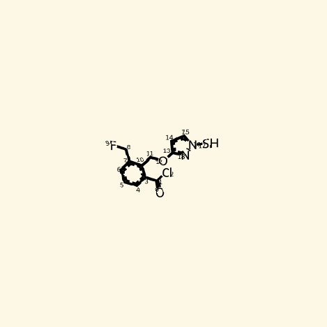 O=C(Cl)c1cccc(CF)c1COc1ccn(S)n1